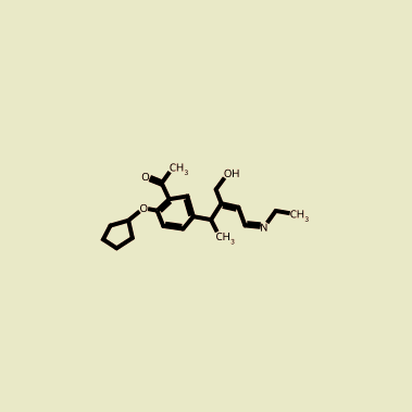 CC/N=C\C=C(\CO)C(C)c1ccc(OC2CCCC2)c(C(C)=O)c1